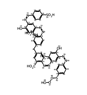 O=C(O)c1cc(Cc2ccc(/N=N\c3cc(/N=N\c4ccc(S(=O)(=O)O)cc4)c(O)cc3O)c(C(=O)O)c2)ccc1/N=N\c1cc(/N=N\c2ccc(SOOO)cc2)c(O)cc1O